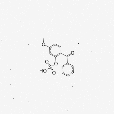 COc1ccc(C(=O)c2ccccc2)c(OS(=O)(=O)O)c1